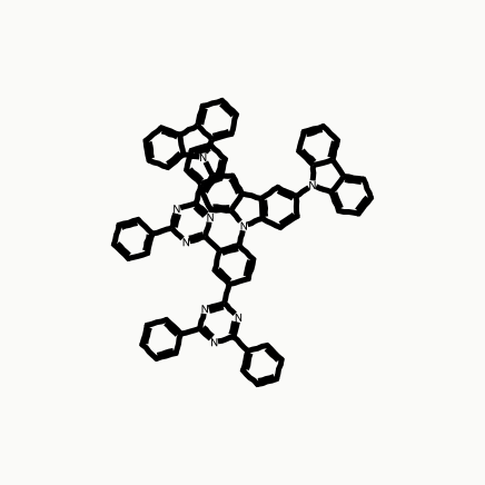 c1ccc(-c2nc(-c3ccccc3)nc(-c3ccc(-n4c5ccc(-n6c7ccccc7c7ccccc76)cc5c5cc(-n6c7ccccc7c7ccccc76)ccc54)c(-c4nc(-c5ccccc5)nc(-c5ccccc5)n4)c3)n2)cc1